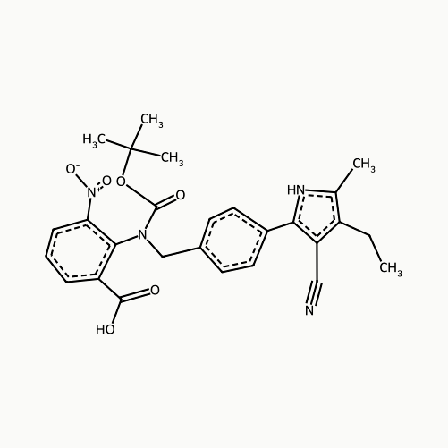 CCc1c(C)[nH]c(-c2ccc(CN(C(=O)OC(C)(C)C)c3c(C(=O)O)cccc3[N+](=O)[O-])cc2)c1C#N